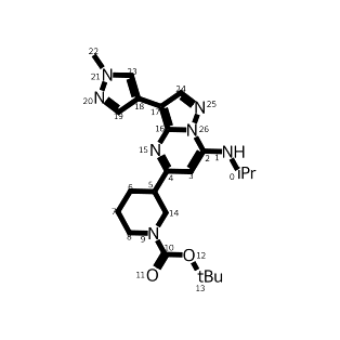 CC(C)Nc1cc(C2CCCN(C(=O)OC(C)(C)C)C2)nc2c(-c3cnn(C)c3)cnn12